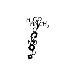 CC(=O)N[C@@H](C)COC1CCN(c2nc3ccc(OC4CCC4)cc3o2)CC1